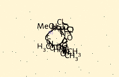 CO[C@H]1/C=C/CCCN(C)C(=O)C[C@](O)(C(=O)NS(=O)(=O)N(C)C)c2ccc3c(c2)N(C[C@@H]2CC[C@H]21)C[C@@]1(CCCc2cc(Cl)ccc21)CO3